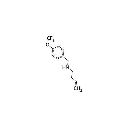 C=CCCNCc1ccc(OC(F)(F)F)cc1